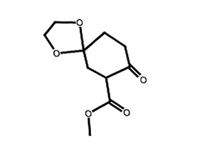 COC(=O)C1CC2(CCC1=O)OCCO2